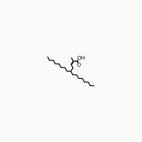 CCCCCCCCC(CC=C(C)C(=O)O)CCCCCCCC